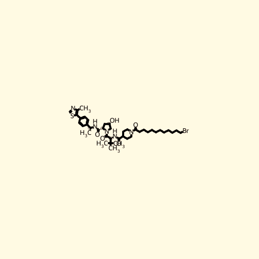 Cc1ncsc1-c1ccc([C@H](C)NC(=O)[C@@H]2C[C@@H](O)CN2C(=O)[C@@H](NC(=O)C2CCN(C(=O)CCCCCCCCCCCBr)CC2)C(C)(C)C)cc1